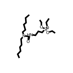 CCCCCCN(CCCCCC)C(=O)NCCC[Si](OCC)(OCC)OCC